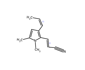 C/C=C\c1cc(C)n(C)c1/C=C/C#N